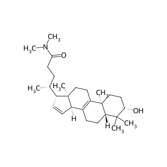 C[C@H](CCC(=O)N(C)C)[C@H]1C=C[C@@H]2C3=C(CC[C@@]21C)[C@@]1(C)CC[C@H](O)C(C)(C)[C@@H]1CC3